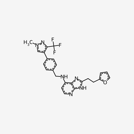 Cn1cc(-c2ccc(CNc3ccnc4[nH]c(CCc5ccco5)nc34)cc2)c(C(F)(F)F)n1